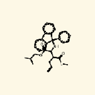 C=CCC(C(=O)OC)[C@H](NC1(c2ccccc2)c2ccccc2-c2ccccc21)C(=O)OCC(C)C